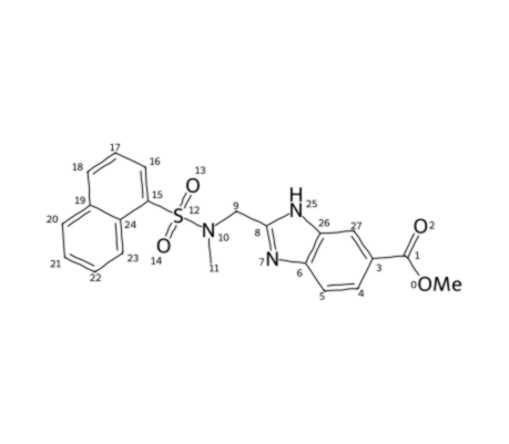 COC(=O)c1ccc2nc(CN(C)S(=O)(=O)c3cccc4ccccc34)[nH]c2c1